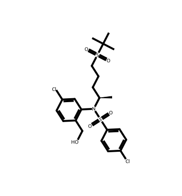 C[C@H](CCCS(=O)(=O)C(C)(C)C)N(c1cc(Cl)ccc1CO)S(=O)(=O)c1ccc(Cl)cc1